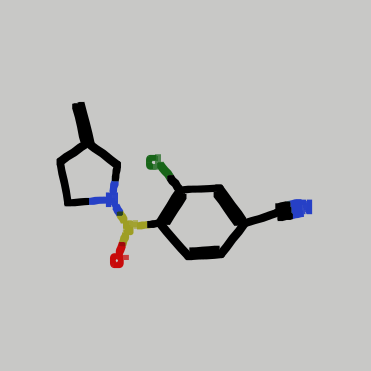 C=C1CCN([S+]([O-])c2ccc(C#N)cc2Cl)C1